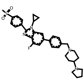 CS(=O)(=O)c1ccc(-c2nc3c(F)cc(-c4ccc(CN5CCC(N6CCCC6)CC5)cc4)cc3n2C2CC2)cc1